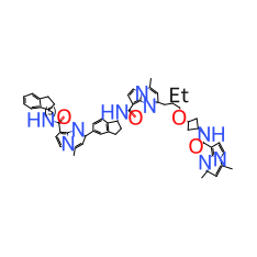 CCC(CO[C@H]1C[C@H](NC(=O)c2ccn3c(C)cc(C)nc23)C1)Cc1cc(C)n2ccc(C(=O)NC3CCc4cc(-c5cc(C)n6ccc(C(=O)N[C@H]7CCc8ccccc87)c6n5)ccc43)c2n1